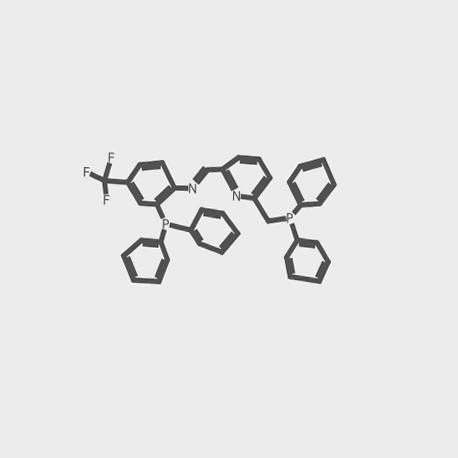 FC(F)(F)c1ccc(N=Cc2cccc(CP(c3ccccc3)c3ccccc3)n2)c(P(c2ccccc2)c2ccccc2)c1